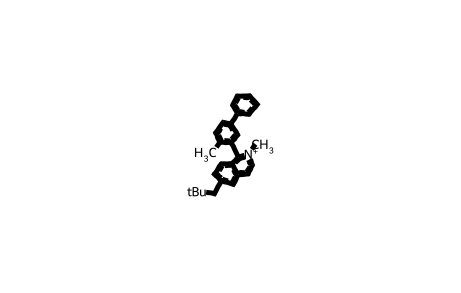 Cc1ccc(-c2ccccc2)cc1-c1c2ccc(CC(C)(C)C)cc2cc[n+]1C